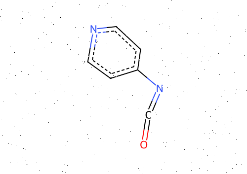 O=C=Nc1c[c]ncc1